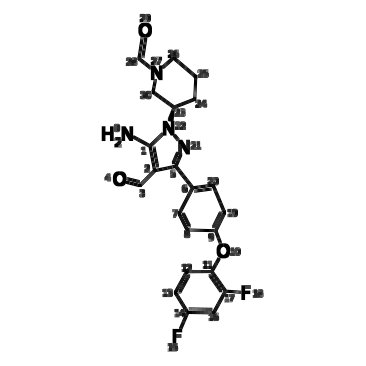 Nc1c(C=O)c(-c2ccc(Oc3ccc(F)cc3F)cc2)nn1[C@@H]1CCCN(C=O)C1